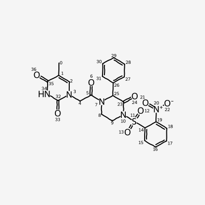 Cc1cn(CC(=O)N2CCN(S(=O)(=O)c3ccccc3[N+](=O)[O-])C(=O)C2c2ccccc2)c(=O)[nH]c1=O